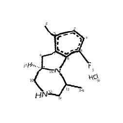 Cc1ccc(F)c2c1C[C@@H]1CNCC(C)N21.Cl